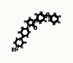 CCN1CCN(C2CCC(n3ccn(-c4ccc(Oc5ccccc5)cc4)c3=O)CC2)CC1